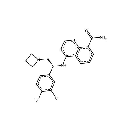 NC(=O)c1cccc2c(N[C@H](CN3CCC3)c3ccc(C(F)(F)F)c(Cl)c3)ncnc12